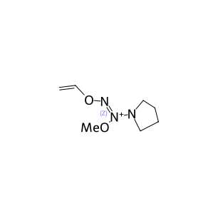 C=CO/N=[N+](\OC)N1CCCC1